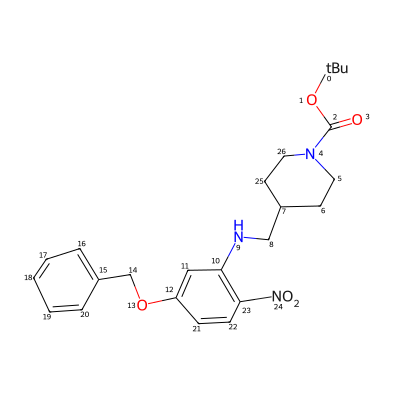 CC(C)(C)OC(=O)N1CCC(CNc2cc(OCc3ccccc3)ccc2[N+](=O)[O-])CC1